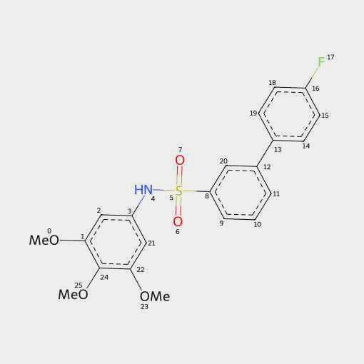 COc1cc(NS(=O)(=O)c2cccc(-c3ccc(F)cc3)c2)cc(OC)c1OC